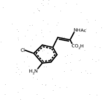 CC(=O)NC(=Cc1ccc(N)c(Cl)c1)C(=O)O